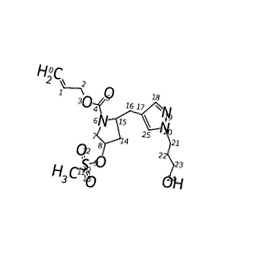 C=CCOC(=O)N1CC(OS(C)(=O)=O)CC1Cc1cnn(CCCO)c1